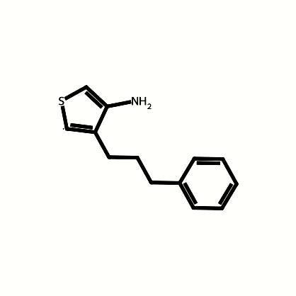 Nc1cs[c]c1CCCc1ccccc1